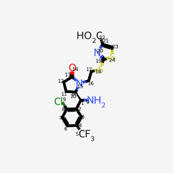 NC(c1cc(C(F)(F)F)ccc1Cl)[C@H]1CCC(=O)N1CCSc1nc(C(=O)O)cs1